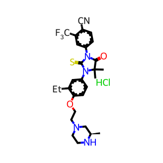 CCc1cc(N2C(=S)N(c3ccc(C#N)c(C(F)(F)F)c3)C(=O)C2(C)C)ccc1OCCN1CCN[C@H](C)C1.Cl